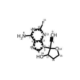 C#CC1(n2cnc3c(N)nc(F)nc32)OCCC1O